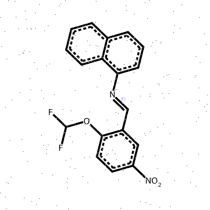 O=[N+]([O-])c1ccc(OC(F)F)c(/C=N/c2cccc3ccccc23)c1